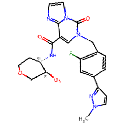 Cn1ccc(-c2ccc(Cn3cc(C(=O)N[C@H]4CCOC[C@@H]4O)c4nccn4c3=O)c(F)c2)n1